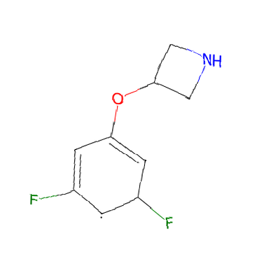 FC1=CC(OC2CNC2)=CC(F)[CH]1